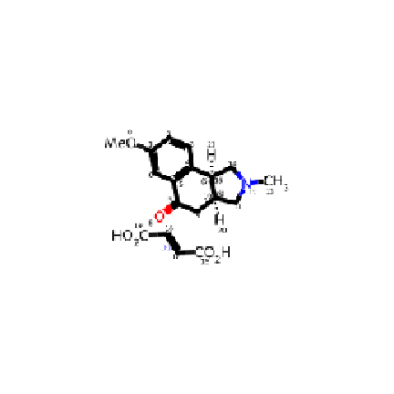 COc1ccc2c(c1)C(=O)C[C@@H]1CN(C)C[C@H]21.O=C(O)/C=C/C(=O)O